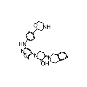 O[C@@H]1CN(c2cc(Nc3ccc(C4CNCCO4)cc3)ncn2)CC[C@H]1N1CCc2ccccc2C1